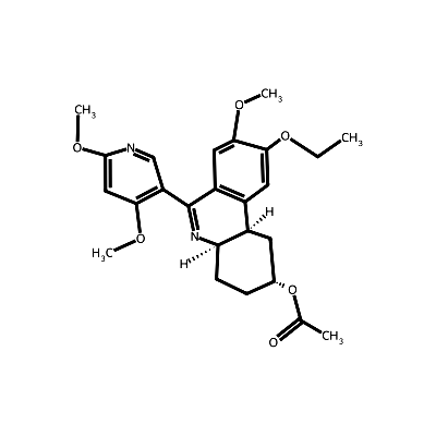 CCOc1cc2c(cc1OC)C(c1cnc(OC)cc1OC)=N[C@@H]1CC[C@@H](OC(C)=O)C[C@H]21